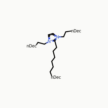 CCCCCCCCCCCCCCCCc1n(CCCCCCCCCCCC)cc[n+]1CCCCCCCCCCCC